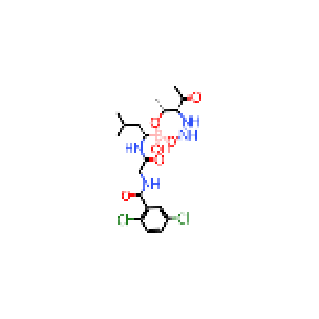 CC(=O)[C@H]1NNO[B-](O)([C@H](CC(C)C)NC(=O)CNC(=O)c2cc(Cl)ccc2Cl)O[C@@H]1C